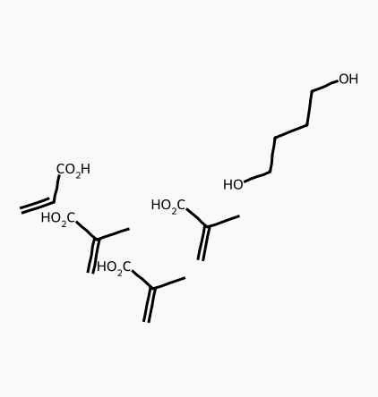 C=C(C)C(=O)O.C=C(C)C(=O)O.C=C(C)C(=O)O.C=CC(=O)O.OCCCCO